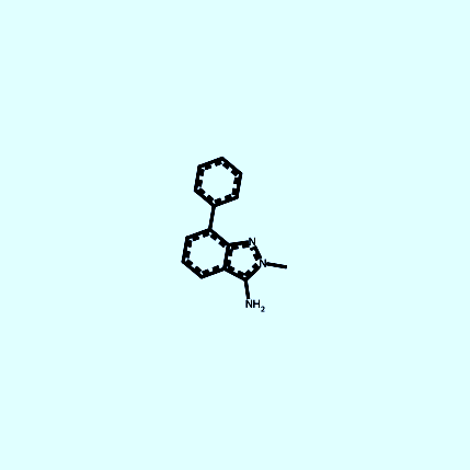 Cn1nc2c(-c3ccccc3)cccc2c1N